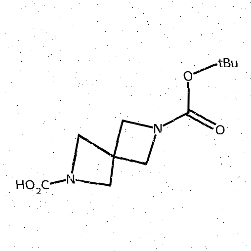 CC(C)(C)OC(=O)N1CC2(CN(C(=O)O)C2)C1